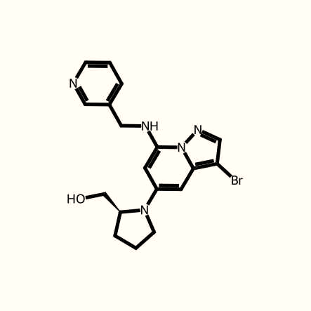 OC[C@@H]1CCCN1c1cc(NCc2cccnc2)n2ncc(Br)c2c1